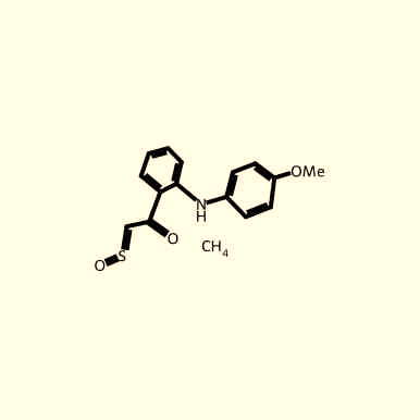 C.COc1ccc(Nc2ccccc2C(=O)C=S=O)cc1